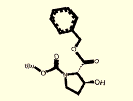 CC(C)(C)OC(=O)N1CC[C@H](O)[C@H]1C(=O)OCc1ccccc1